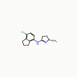 CC1CCC(Nc2ccc(Cl)c3c2CCC3)=N1